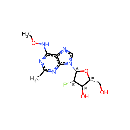 CONc1nc(C)nc2c1ncn2[C@@H]1O[C@H](CO)[C@@H](O)[C@@H]1F